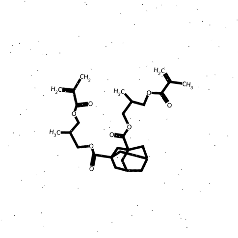 C=C(C)C(=O)OCC(C)COC(=O)C12CC3CC(C1)CC(C(=O)OCC(C)COC(=O)C(=C)C)(C3)C2